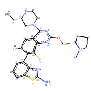 CN1CCC[C@H]1COc1nc(N2CCN[C@@H](CC#N)C2)c2cc(Cl)c(-c3cccc4sc(N)nc34)c(F)c2n1